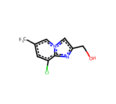 OCc1cn2cc(C(F)(F)F)cc(Cl)c2n1